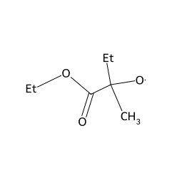 CCOC(=O)C(C)([O])CC